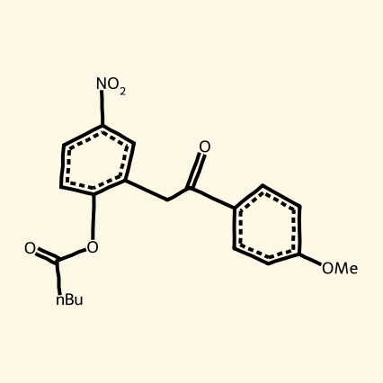 CCCCC(=O)Oc1ccc([N+](=O)[O-])cc1CC(=O)c1ccc(OC)cc1